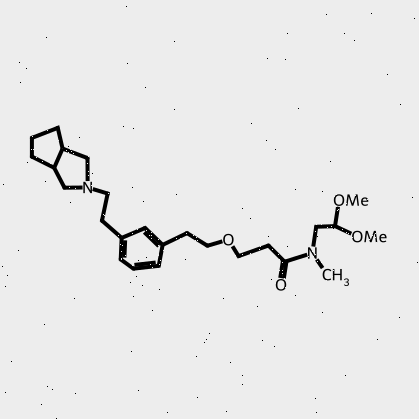 COC(CN(C)C(=O)CCOCCc1cccc(CCN2CC3CCCC3C2)c1)OC